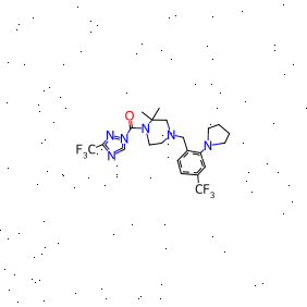 CC1(C)CN(Cc2ccc(C(F)(F)F)cc2N2CCCC2)CCN1C(=O)n1cnc(C(F)(F)F)n1